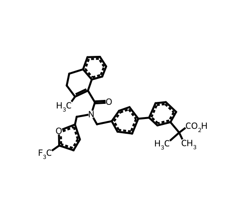 CC1=C(C(=O)N(Cc2ccc(-c3cccc(C(C)(C)C(=O)O)c3)cc2)Cc2ccc(C(F)(F)F)o2)c2ccccc2CC1